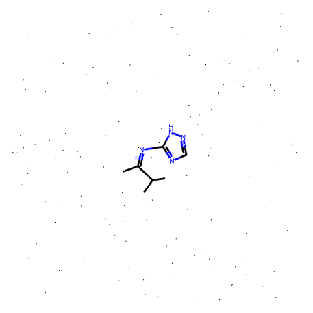 C/C(=N/c1ncn[nH]1)C(C)C